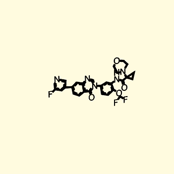 O=C(Nc1cc(-n2cnc3cc(-c4cncc(F)c4)ccc3c2=O)ccc1OC(F)F)C1(N2CCOCC2)CC1